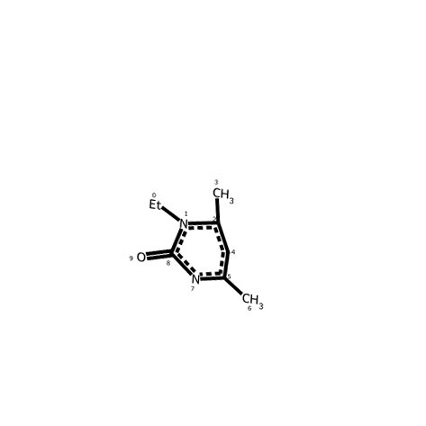 CCn1c(C)cc(C)nc1=O